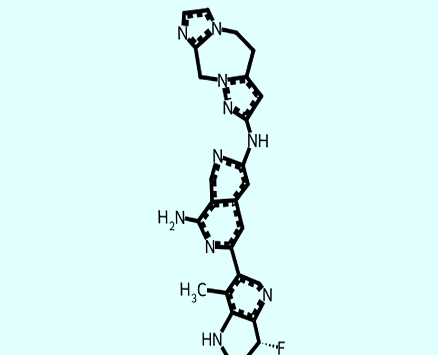 Cc1c(-c2cc3cc(Nc4cc5n(n4)Cc4nccn4CC5)ncc3c(N)n2)cnc2c1NCC[C@H]2F